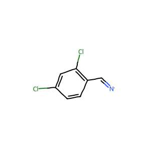 [N]=Cc1ccc(Cl)cc1Cl